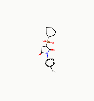 Cc1ccc(N2C(=O)CC(S(=O)(=O)C3CCCCC3)C2=O)cc1